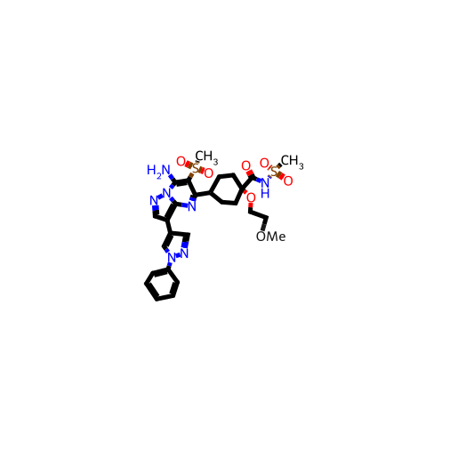 COCCOC1(C(=O)NS(C)(=O)=O)CCC(c2nc3c(-c4cnn(-c5ccccc5)c4)cnn3c(N)c2S(C)(=O)=O)CC1